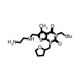 Cc1c(CNCCN)sc2c1c(=O)n(CC(C)(C)C)c(=O)n2CC1CCCO1